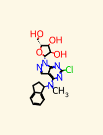 CN(c1nc(Cl)nc2c1cnn2[C@@H]1O[C@H](CO)[C@@H](O)[C@H]1O)[C@@H]1CCc2ccccc21